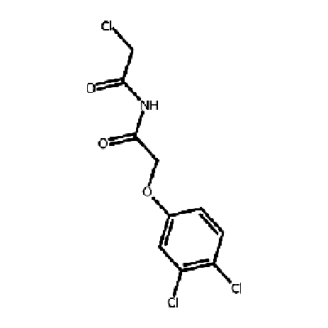 O=C(CCl)NC(=O)COc1ccc(Cl)c(Cl)c1